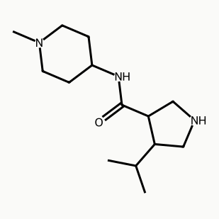 CC(C)C1CNCC1C(=O)NC1CCN(C)CC1